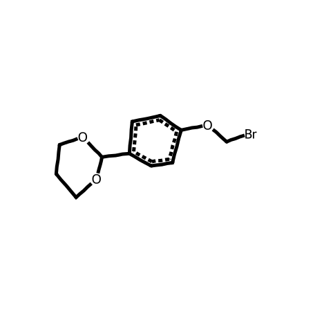 BrCOc1ccc(C2OCCCO2)cc1